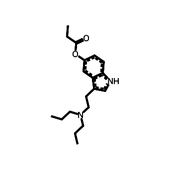 CCCN(CCC)CCc1c[nH]c2ccc(OC(=O)CC)cc12